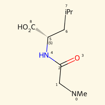 CNCC(=O)N[C@@H](CC(C)C)C(=O)O